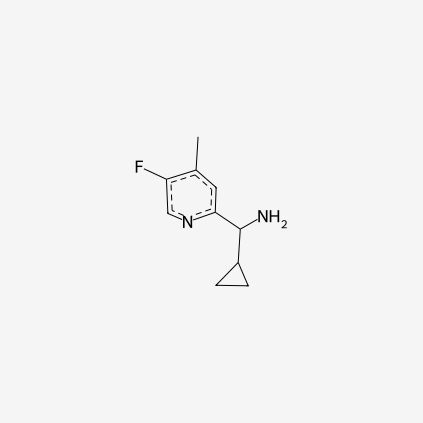 Cc1cc(C(N)C2CC2)ncc1F